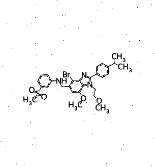 COCCn1c(-c2ccc(C(C)C)cc2)nc2c(Br)c(CNc3cccc(S(C)(=O)=O)c3)cc(OC)c21